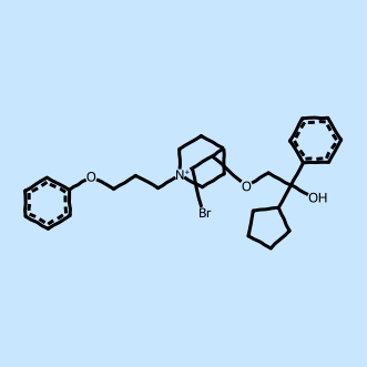 OC(COC1C2CC[N+](CCCOc3ccccc3)(CC2)C1Br)(c1ccccc1)C1CCCC1